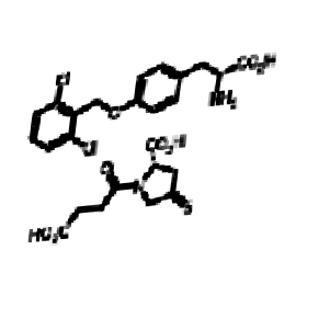 N[C@@H](Cc1ccc(OCc2c(Cl)cccc2Cl)cc1)C(=O)O.O=C(O)CCC(=O)N1CC(=S)C[C@H]1C(=O)O